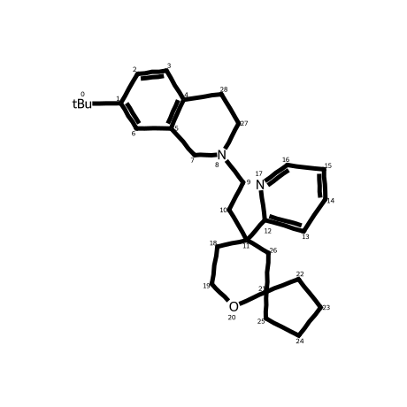 CC(C)(C)c1ccc2c(c1)CN(CCC1(c3ccccn3)CCOC3(CCCC3)C1)CC2